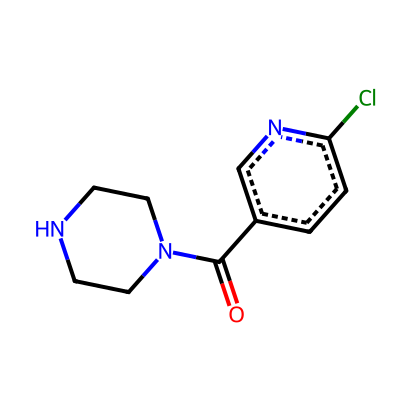 O=C(c1ccc(Cl)nc1)N1CCNCC1